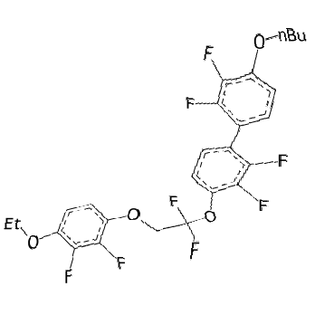 CCCCOc1ccc(-c2ccc(OC(F)(F)COc3ccc(OCC)c(F)c3F)c(F)c2F)c(F)c1F